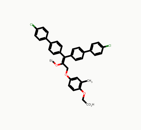 CCOC(COc1ccc(OCC(=O)O)c(C)c1)=C(c1ccc(-c2ccc(Cl)cc2)cc1)c1ccc(-c2ccc(Cl)cc2)cc1